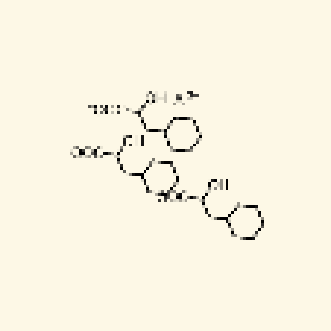 O=C([O-])C(O)CC1CCCCC1.O=C([O-])C(O)CC1CCCCC1.O=C([O-])C(O)CC1CCCCC1.[Al+3]